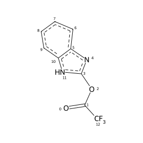 O=C(Oc1nc2ccccc2[nH]1)C(F)(F)F